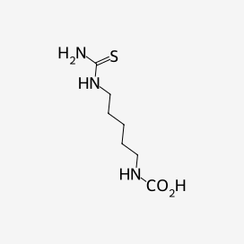 NC(=S)NCCCCCNC(=O)O